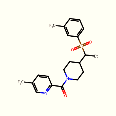 CCC(C1CCN(C(=O)c2ccc(C(F)(F)F)cn2)CC1)S(=O)(=O)c1cccc(C(F)(F)F)c1